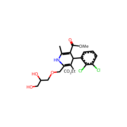 CCOC(=O)C1=C(COCC(O)CO)NC(C)=C(C(=O)OC)C1c1cccc(Cl)c1Cl